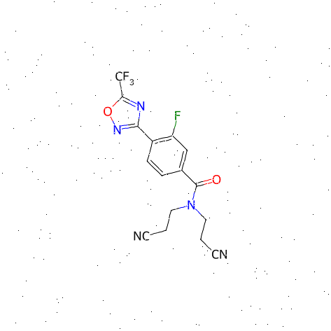 N#CCCN(CCC#N)C(=O)c1ccc(-c2noc(C(F)(F)F)n2)c(F)c1